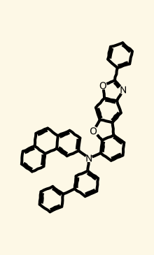 c1ccc(-c2cccc(N(c3ccc4ccc5ccccc5c4c3)c3cccc4c3oc3cc5oc(-c6ccccc6)nc5cc34)c2)cc1